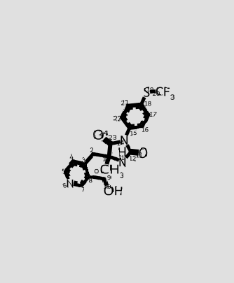 CC1(Cc2ccncc2CO)NC(=O)N(c2ccc(SC(F)(F)F)cc2)C1=O